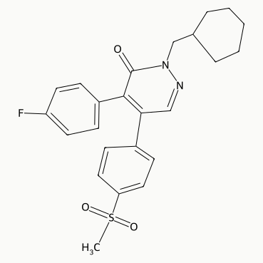 CS(=O)(=O)c1ccc(-c2cnn(CC3CCCCC3)c(=O)c2-c2ccc(F)cc2)cc1